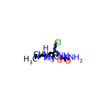 C\C(=C/C(=C\C=C\Cl)C(C=N)C=CNCCCN(C)C)NC(=O)c1coc(N)n1